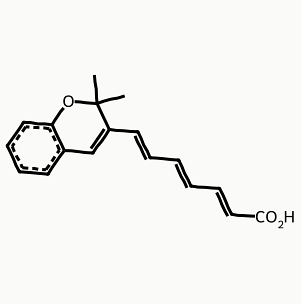 CC1(C)Oc2ccccc2C=C1C=CC=CC=CC(=O)O